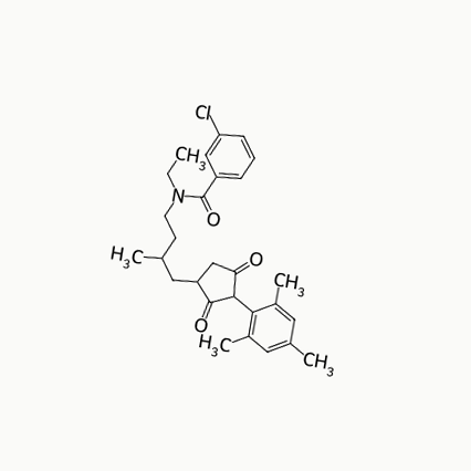 CCN(CCC(C)CC1CC(=O)C(c2c(C)cc(C)cc2C)C1=O)C(=O)c1cccc(Cl)c1